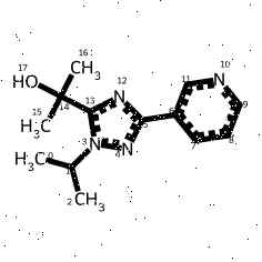 CC(C)n1nc(-c2c[c]cnc2)nc1C(C)(C)O